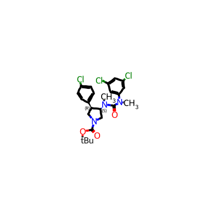 CN(C(=O)N(C)[C@@H]1CN(C(=O)OC(C)(C)C)C[C@H]1c1ccc(Cl)cc1)c1cc(Cl)cc(Cl)c1